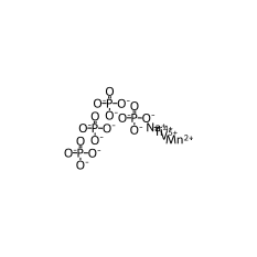 O=P([O-])([O-])[O-].O=P([O-])([O-])[O-].O=P([O-])([O-])[O-].O=P([O-])([O-])[O-].[Mn+2].[Na+].[Ti+4].[V+5]